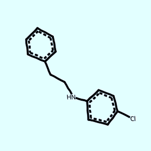 Clc1ccc(NCCc2ccccc2)cc1